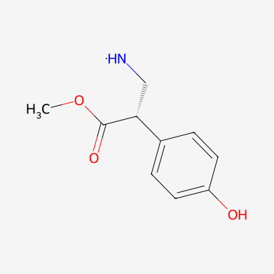 COC(=O)[C@H](C[NH])c1ccc(O)cc1